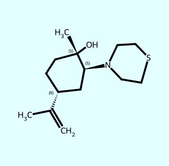 C=C(C)[C@@H]1CC[C@](C)(O)[C@@H](N2CCSCC2)C1